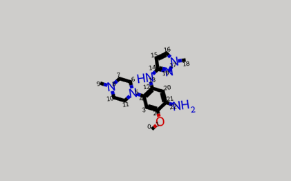 COc1cc(N2CCN(C)CC2)c(Nc2ccn(C)n2)cc1N